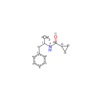 CC(Cc1ccccc1)NC(=O)C1[CH]C1